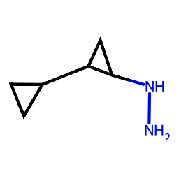 NNC1CC1C1CC1